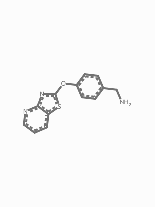 NCc1ccc(Oc2nc3ncccc3s2)cc1